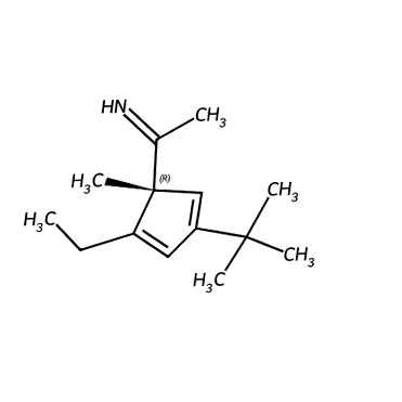 CCC1=CC(C(C)(C)C)=C[C@@]1(C)C(C)=N